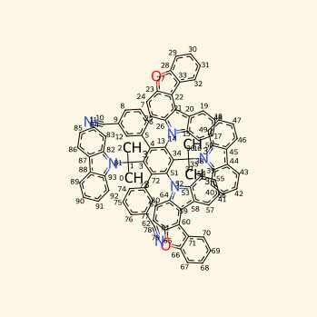 CC(C)(c1c(-c2cccc(C#N)c2)c(-n2c3ccccc3c3c4c(ccc32)oc2ccccc24)c(C(C)(C)n2c3ccccc3c3ccccc32)c(-n2c3ccccc3c3c4c(ccc32)oc2ccccc24)c1-c1cccc(C#N)c1)n1c2ccccc2c2ccccc21